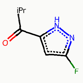 CC(C)C(=O)c1cc(F)n[nH]1